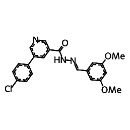 COc1cc(C=NNC(=O)c2cncc(-c3ccc(Cl)cc3)c2)cc(OC)c1